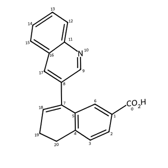 O=C(O)c1ccc2c(c1)C(c1cnc3ccccc3c1)=CCC2